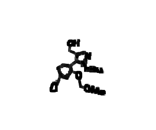 CCCCn1ncc(CO)c1-c1ccc(Cl)cc1OCOC